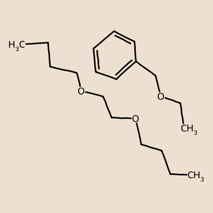 CCCCOCCOCCCC.CCOCc1ccccc1